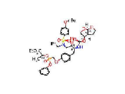 CCCCOc1ccc(S(=O)(=O)N(CC(C)C)C[C@@H](O)[C@H](Cc2ccc(OCP(=O)(Oc3ccccc3)O[C@@H](C)C(=O)OCC)cc2)NC(=O)O[C@H]2CO[C@H]3OCC[C@H]32)cc1